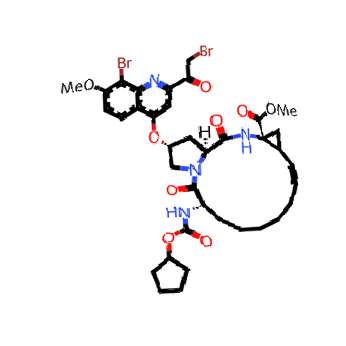 COC(=O)[C@@]12CC1/C=C\CCCCC[C@H](NC(=O)OC1CCCC1)C(=O)N1C[C@H](Oc3cc(C(=O)CBr)nc4c(Br)c(OC)ccc34)C[C@H]1C(=O)N2